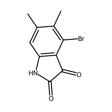 Cc1cc2c(c(Br)c1C)C(=O)C(=O)N2